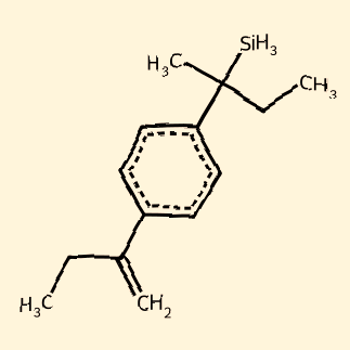 C=C(CC)c1ccc(C(C)([SiH3])CC)cc1